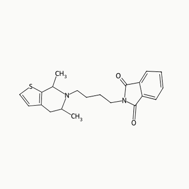 CC1Cc2ccsc2C(C)N1CCCCN1C(=O)c2ccccc2C1=O